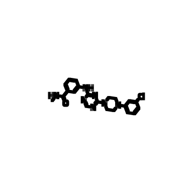 CNC(=O)c1cccc(Nc2ncnc(N3CCN(c4cccc(Cl)c4)CC3)n2)c1